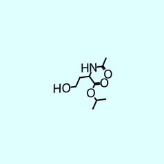 CC(=O)NC(CCO)C(=O)OC(C)C